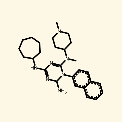 CN1CCC(N(C)C2=NC(NC3CCCCCC3)=NC(N)N2c2ccc3ccccc3c2)CC1